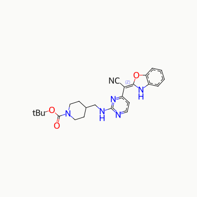 CC(C)(C)OC(=O)N1CCC(CNc2nccc(/C(C#N)=C3\Nc4ccccc4O3)n2)CC1